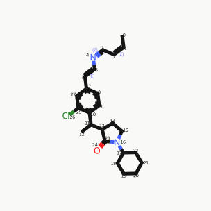 C\C=C/C=N\C=C\c1ccc(C(C)C2CCN(C3CCCCC3)C2=O)c(Cl)c1